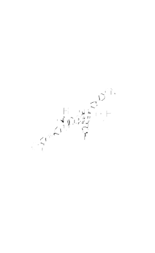 N#Cc1ccc(-c2ccc(C[C@H](NC(=O)C3Cc4cc5c(cc4CN3C(=O)c3ccc(F)cc3)O[C@@H](c3ccc(OCc4ccc(Cl)c(Cl)c4)cc3)C(=O)N5)C(=O)O)cc2)cc1